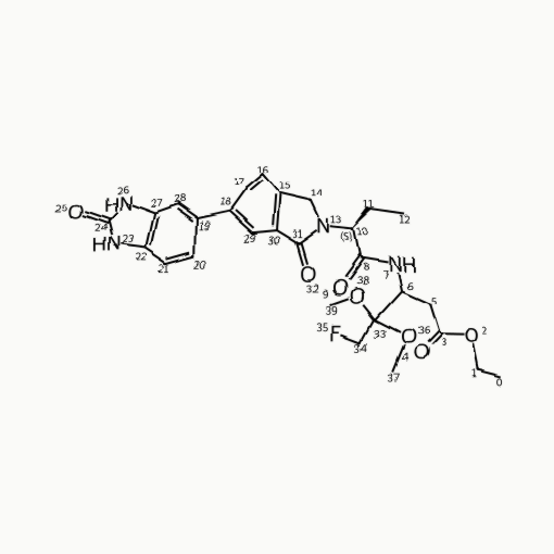 CCOC(=O)CC(NC(=O)[C@H](CC)N1Cc2ccc(-c3ccc4[nH]c(=O)[nH]c4c3)cc2C1=O)C(CF)(OC)OC